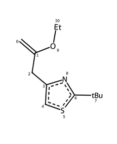 C=C(Cc1csc(C(C)(C)C)n1)OCC